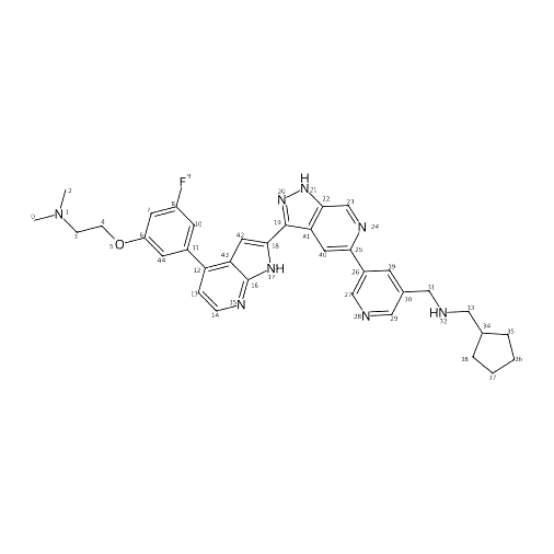 CN(C)CCOc1cc(F)cc(-c2ccnc3[nH]c(-c4n[nH]c5cnc(-c6cncc(CNCC7CCCC7)c6)cc45)cc23)c1